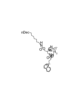 CCCCCCCCCCCCCCCCCCNC(=O)OCC(CNS(=O)(=O)CCC[n+]1cccc2ccccc21)n1cnc(C)n1.[I-]